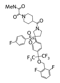 CNC(=O)C(=O)N1CCC(C(=O)N2CC[C@](c3ccc(C(OCc4c(F)cccc4F)(C(F)(F)F)C(F)(F)F)cc3)(S(=O)(=O)c3ccc(F)cc3)C2)CC1